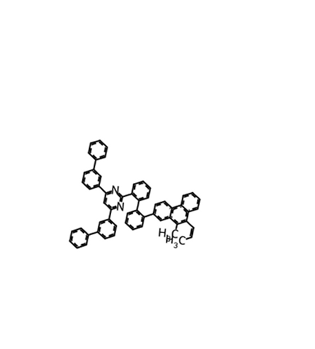 C/C=C\c1c(C)c2cc(-c3ccccc3-c3ccccc3-c3nc(-c4cccc(-c5ccccc5)c4)cc(-c4cccc(-c5ccccc5)c4)n3)ccc2c2ccccc12